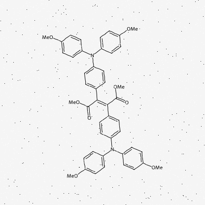 COC(=O)/C(=C(/C(=O)OC)c1ccc(N(c2ccc(OC)cc2)c2ccc(OC)cc2)cc1)c1ccc(N(c2ccc(OC)cc2)c2ccc(OC)cc2)cc1